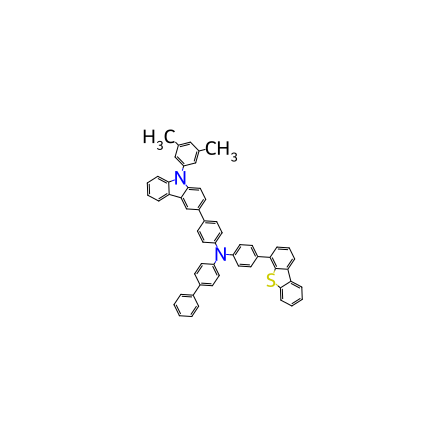 Cc1cc(C)cc(-n2c3ccccc3c3cc(-c4ccc(N(c5ccc(-c6ccccc6)cc5)c5ccc(-c6cccc7c6sc6ccccc67)cc5)cc4)ccc32)c1